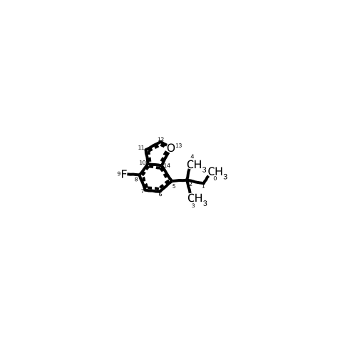 CCC(C)(C)c1ccc(F)c2ccoc12